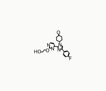 O=C1CCC(n2cc(-c3ccc(F)cc3)nc2-c2ccnc(OCCO)n2)CC1